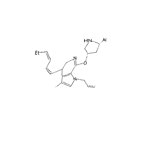 C=CCn1cc(C)c2c1C(OC1CN[C@H](C(C)=O)C1)=NCC2/C=C\C=C/CC